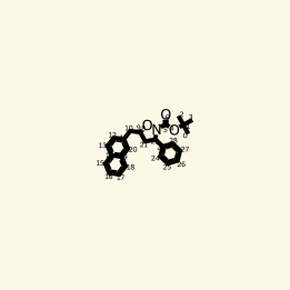 CC(C)(C)OC(=O)N1OC(Cc2ccc3ccccc3c2)CC1c1ccccc1